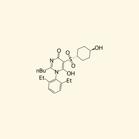 CCCCc1nc(=O)c(S(=O)(=O)[C@H]2CC[C@H](O)CC2)c(O)n1-c1c(CC)cccc1CC